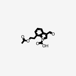 CC(=O)OCCc1cccc2c(C=O)cn(C(=O)O)c12